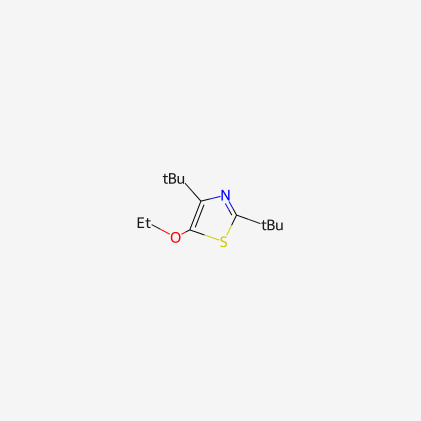 CCOc1sc(C(C)(C)C)nc1C(C)(C)C